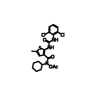 CC(=O)ON(C(=O)c1cc(C)sc1NC(=O)Nc1c(Cl)cccc1Cl)C1CCCCC1